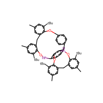 Cc1cc2c(c(C(C)(C)C)c1)OPc1ccc(c3c1Oc1c(cc(C)cc1C(C)(C)C)Cc1cc(C)cc(C(C)(C)C)c1OP3)-c1ccc(cc1)Oc1c(cc(C)cc1C(C)(C)C)C2